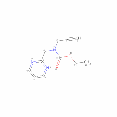 C#CCN(Cc1ncccn1)C(=O)OCC